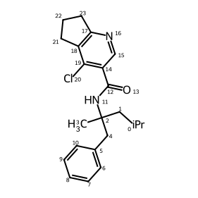 CC(C)CC(C)(Cc1ccccc1)NC(=O)c1cnc2c(c1Cl)CCC2